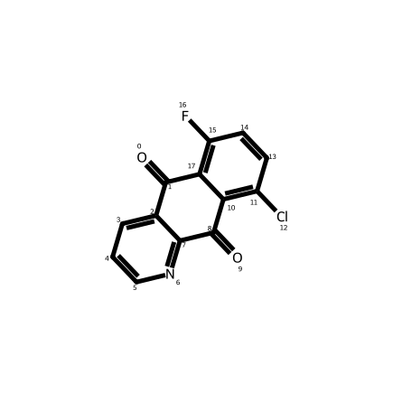 O=C1c2cccnc2C(=O)c2c(Cl)ccc(F)c21